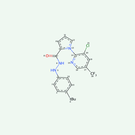 CC(C)(C)c1ccc(NNC(=O)c2cccn2-c2ncc(C(F)(F)F)cc2Cl)cc1